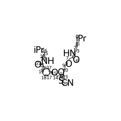 CC(C)C#CCNC(=O)COCCOC(C)(COc1cccc(C(=O)NCCC(C)C)c1)SC#N